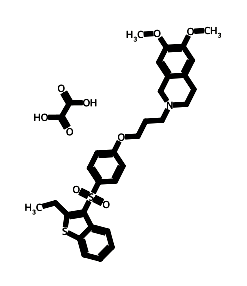 CCc1sc2ccccc2c1S(=O)(=O)c1ccc(OCCCN2CCc3cc(OC)c(OC)cc3C2)cc1.O=C(O)C(=O)O